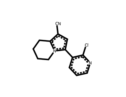 N#Cc1cc(-c2cccnc2Cl)n2c1CCCC2